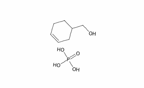 O=P(O)(O)O.OCC1CC=CCC1